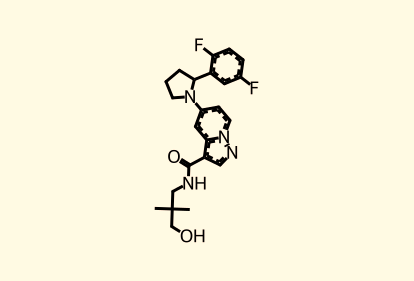 CC(C)(CO)CNC(=O)c1cnn2ccc(N3CCCC3c3cc(F)ccc3F)cc12